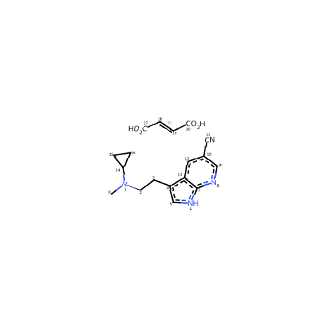 CN(CCc1c[nH]c2ncc(C#N)cc12)C1CC1.O=C(O)/C=C/C(=O)O